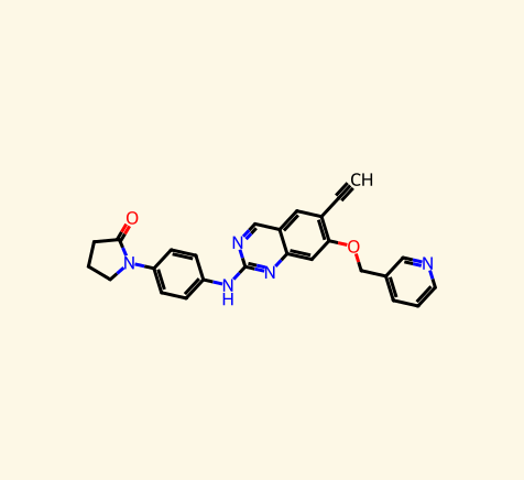 C#Cc1cc2cnc(Nc3ccc(N4CCCC4=O)cc3)nc2cc1OCc1cccnc1